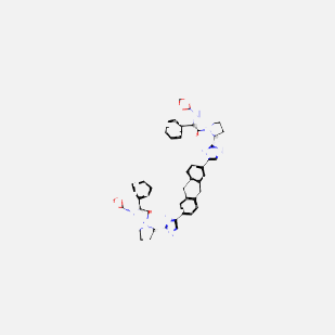 O=C([C@H](NC1OCO1)c1ccccc1)N1CCC[C@H]1c1ncc(-c2ccc3c(c2)Cc2ccc(-c4cnc([C@@H]5CCCN5C(=O)[C@H](NC5OCO5)c5ccccc5)[nH]4)cc2C3)[nH]1